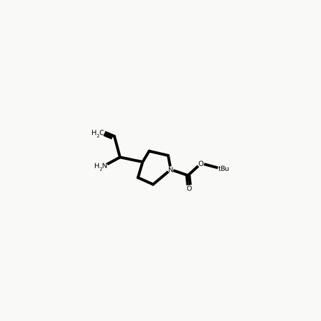 C=CC(N)C1CCN(C(=O)OC(C)(C)C)CC1